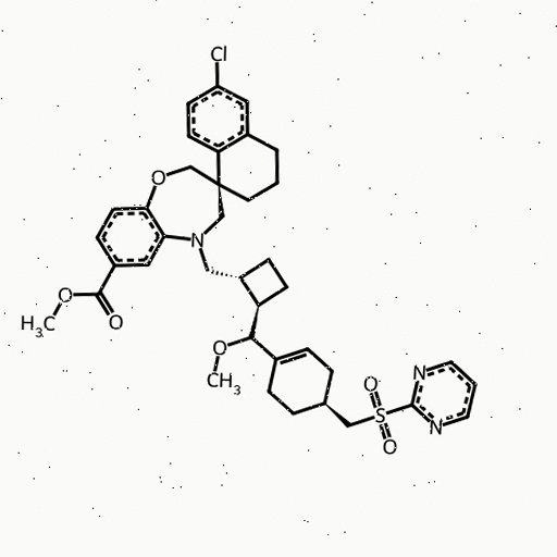 COC(=O)c1ccc2c(c1)N(C[C@@H]1CC[C@H]1C(OC)C1=CC[C@@H](CS(=O)(=O)c3ncccn3)CC1)C[C@@]1(CCCc3cc(Cl)ccc31)CO2